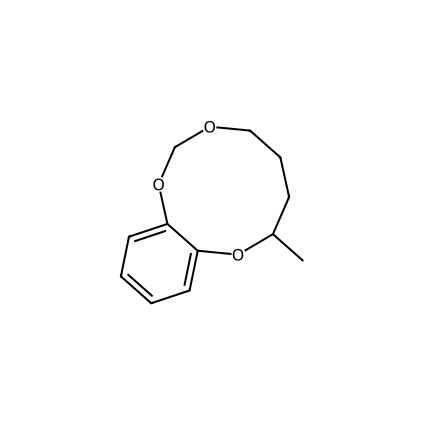 CC1CCCOCOc2ccccc2O1